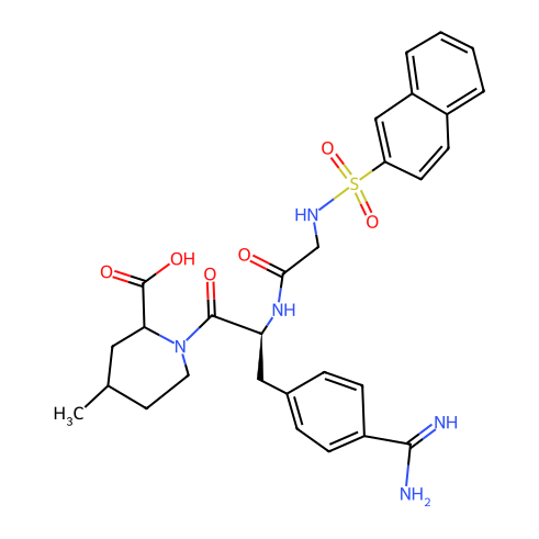 CC1CCN(C(=O)[C@H](Cc2ccc(C(=N)N)cc2)NC(=O)CNS(=O)(=O)c2ccc3ccccc3c2)C(C(=O)O)C1